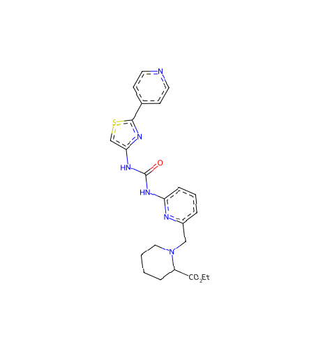 CCOC(=O)C1CCCCN1Cc1cccc(NC(=O)Nc2csc(-c3ccncc3)n2)n1